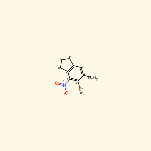 Cc1cc2c(c([N+](=O)[O-])c1Br)CCC2